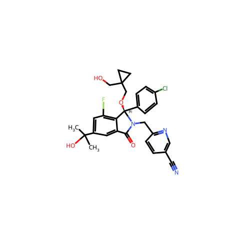 CC(C)(O)c1cc(F)c2c(c1)C(=O)N(Cc1ccc(C#N)cn1)[C@@]2(OCC1(CO)CC1)c1ccc(Cl)cc1